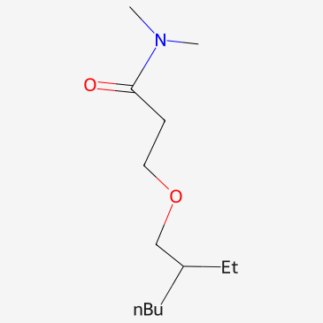 CCCCC(CC)COCCC(=O)N(C)C